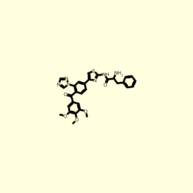 COc1cc(C(=O)c2ccc(-c3csc(NC(=O)C(N)Cc4ccccc4)n3)cc2-n2cncn2)cc(OC)c1OC